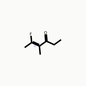 CCC(=O)/C(C)=C(/C)F